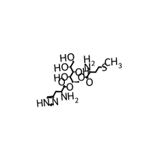 CSCC[C@H](N)C(=O)OC[C@@H](OC(=O)[C@@H](N)Cc1c[nH]cn1)[C@@H](O)[C@H](O)[C@H](O)CO